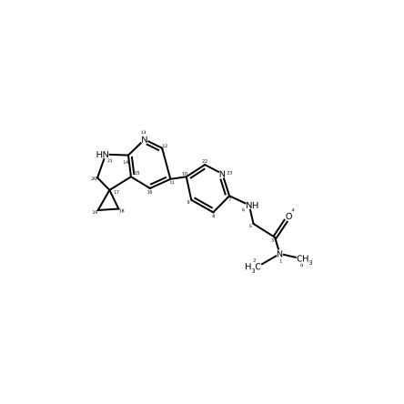 CN(C)C(=O)CNc1ccc(-c2cnc3c(c2)C2(CC2)CN3)cn1